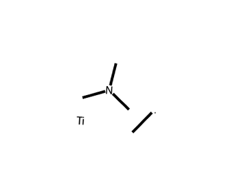 CN(C)C.[CH2]C.[Ti]